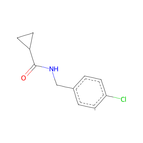 O=C(NCc1c[c]c(Cl)cc1)C1CC1